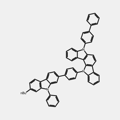 CCCCc1ccc2c3ccc(-c4ccc(-n5c6ccccc6c6ccc7c(c8ccccc8n7-c7ccc(-c8ccccc8)cc7)c65)cc4)cc3n(-c3ccccc3)c2c1